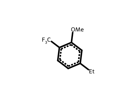 [CH2]Cc1ccc(C(F)(F)F)c(OC)c1